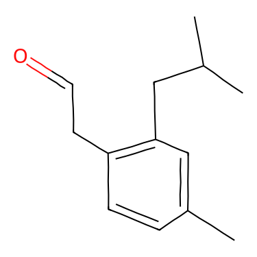 Cc1ccc(CC=O)c(CC(C)C)c1